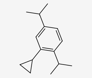 C[C](C)c1ccc(C(C)C)c(C2CC2)c1